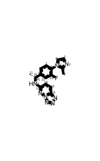 Cc1nccn1-c1ccc([C@@H](C)Nc2ccc3nnnn3n2)cc1F